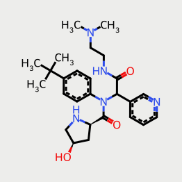 CN(C)CCNC(=O)C(c1cccnc1)N(C(=O)[C@H]1C[C@@H](O)CN1)c1ccc(C(C)(C)C)cc1